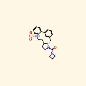 O=C(N1CCC1)N1CC[C@@H](CCN[SH](=O)=O)[C@@H]1Cc1cccc(-c2ccccc2)c1